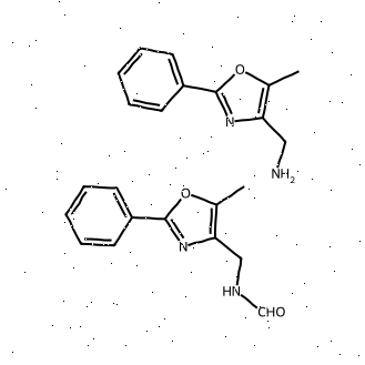 Cc1oc(-c2ccccc2)nc1CN.Cc1oc(-c2ccccc2)nc1CNC=O